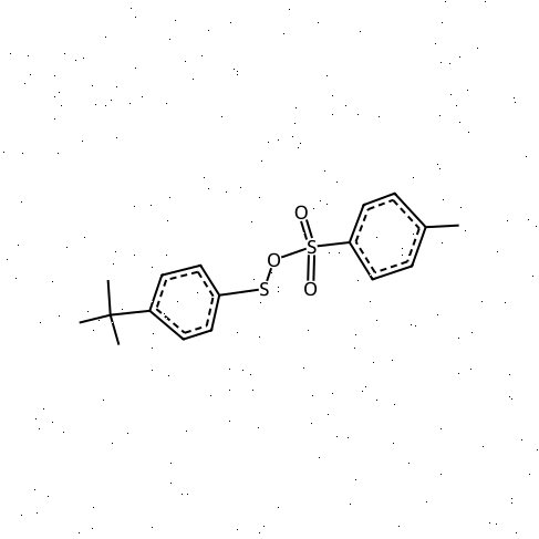 Cc1ccc(S(=O)(=O)OSc2ccc(C(C)(C)C)cc2)cc1